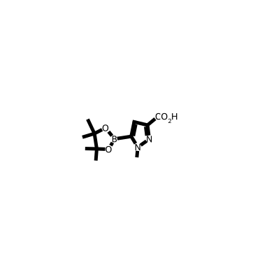 Cn1nc(C(=O)O)cc1B1OC(C)(C)C(C)(C)O1